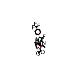 COC(=O)N1CC[C@H]2C[C@@]2(c2cc(C)nc3c(F)c([C@H]4CC[C@H](C(F)(F)F)CC4)nn23)C1